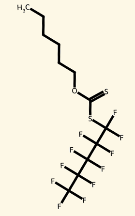 CCCCCCOC(=S)SC(F)(F)C(F)(F)C(F)(F)C(F)(F)C(F)(F)F